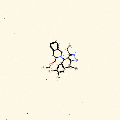 CCOCC1Cc2ccccc2CN1C(c1cc(C)c(C)cc1C)c1c(CC)n[nH]c1CC